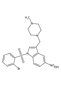 CN1CCN(Cc2cn(S(=O)(=O)c3ccccc3Br)c3ccc([N+](=O)[O-])cc23)CC1.Cl